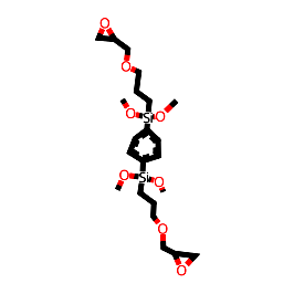 CO[Si](CCCOCC1CO1)(OC)c1ccc([Si](CCCOCC2CO2)(OC)OC)cc1